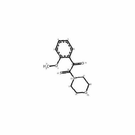 COc1ccccc1C(=O)C(=S)N1CCOCC1